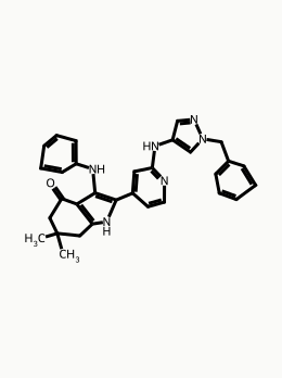 CC1(C)CC(=O)c2c([nH]c(-c3ccnc(Nc4cnn(Cc5ccccc5)c4)c3)c2Nc2ccccc2)C1